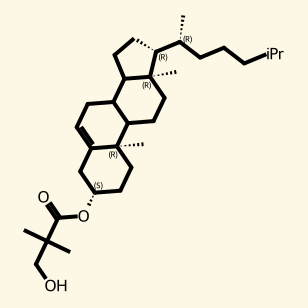 CC(C)CCC[C@@H](C)[C@H]1CCC2C3CC=C4C[C@@H](OC(=O)C(C)(C)CO)CC[C@]4(C)C3CC[C@@]21C